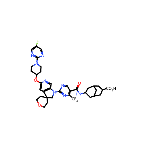 O=C(NC1CC2CC(C1)CC(C(=O)O)C2)c1cnc(N2CC3(CCOCC3)c3cc(OC4CCN(c5ncc(F)cn5)CC4)ncc32)nc1C(F)(F)F